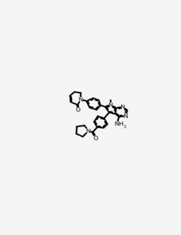 Cn1c(-c2ccc(N3CCC=CC3=O)cc2)c(-c2ccc(C(=O)N3CCCC3)cc2)c2c(N)ncnc21